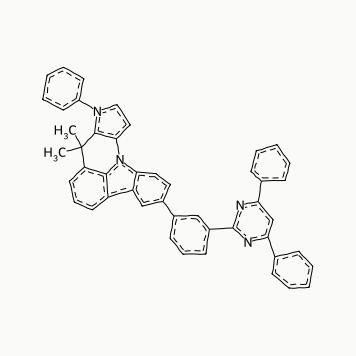 CC1(C)c2cccc3c4cc(-c5cccc(-c6nc(-c7ccccc7)cc(-c7ccccc7)n6)c5)ccc4n(c23)-c2ccn(-c3ccccc3)c21